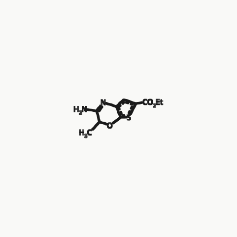 CCOC(=O)c1cc2c(s1)OC(C)C(N)=N2